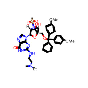 CCN(C)CCNc1nc2c(ncn2[C@@H]2O[C@@]3(COC(c4ccccc4)(c4ccc(OC)cc4)c4ccc(OC)cc4)CN(S(C)(=O)=O)[C@@H]2[C@@H]3O)c(=O)[nH]1